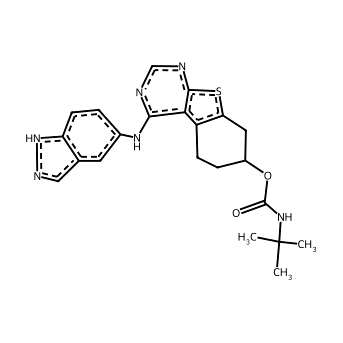 CC(C)(C)NC(=O)OC1CCc2c(sc3ncnc(Nc4ccc5[nH]ncc5c4)c23)C1